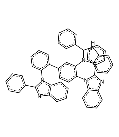 c1ccc(-c2nc3ccccc3n2-c2ccccc2-c2ccc(-n3c(-c4ccccc4)nc4ccccc43)c(N3c4ccccc4NC3c3ccccc3)c2)cc1